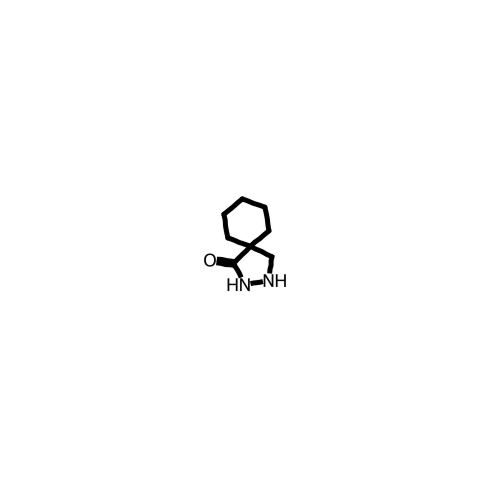 O=C1NNCC12CCCCC2